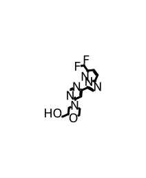 OCC1CN(c2cc(-c3cnc4ccc(C(F)F)nn34)ncn2)CCO1